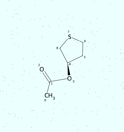 CC(=O)O[C@@H]1CCSC1